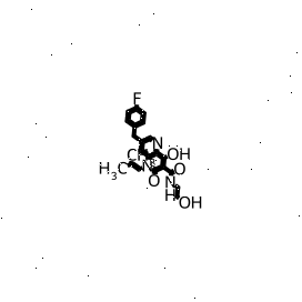 CC(C)=Cn1c(=O)c(C(=O)NCCO)c(O)c2ncc(Cc3ccc(F)cc3)cc21